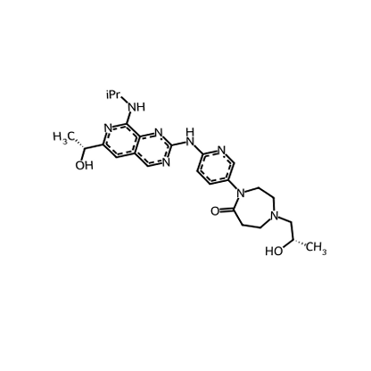 CC(C)Nc1nc([C@@H](C)O)cc2cnc(Nc3ccc(N4CCN(C[C@H](C)O)CCC4=O)cn3)nc12